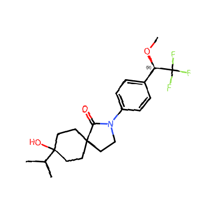 CO[C@H](c1ccc(N2CCC3(CCC(O)(C(C)C)CC3)C2=O)cc1)C(F)(F)F